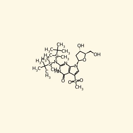 CC(C)(C)[Si](C)(C)N(c1nc2c(c(S(C)(=O)=O)cn2[C@H]2C[C@H](O)[C@@H](CO)O2)c(=O)[nH]1)[Si](C)(C)C(C)(C)C